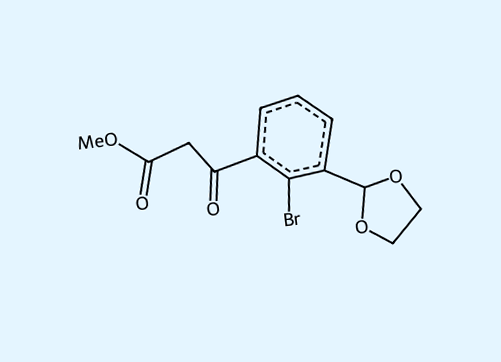 COC(=O)CC(=O)c1cccc(C2OCCO2)c1Br